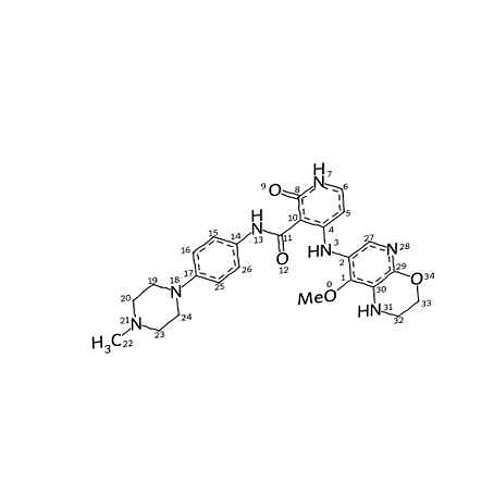 COc1c(Nc2cc[nH]c(=O)c2C(=O)Nc2ccc(N3CCN(C)CC3)cc2)cnc2c1NCCO2